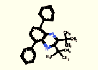 CC(C)(C)c1nc2c(-c3ccccc3)ccc(-c3ccccc3)c2nc1C(C)(C)C